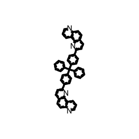 c1ccc(C(c2ccccc2)(c2ccc(-c3ccc4ccc5ncccc5c4n3)cc2)c2ccc(-c3ccc4ccc5ncccc5c4n3)cc2)cc1